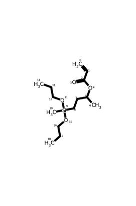 C=CC(=O)OC(C)CC[Si](C)(OCCC)OCCC